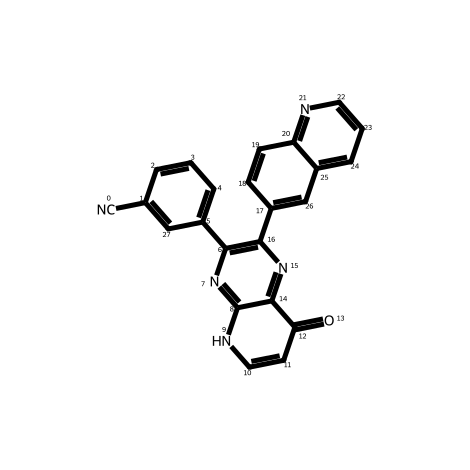 N#Cc1cccc(-c2nc3[nH]ccc(=O)c3nc2-c2ccc3ncccc3c2)c1